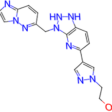 OCCn1cc(-c2ccc3c(n2)N(Cc2ccc4nccn4n2)NN3)cn1